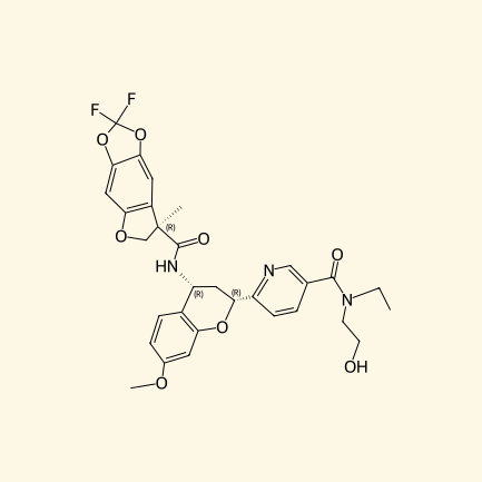 CCN(CCO)C(=O)c1ccc([C@H]2C[C@@H](NC(=O)[C@@]3(C)COc4cc5c(cc43)OC(F)(F)O5)c3ccc(OC)cc3O2)nc1